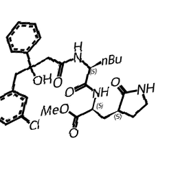 CCCC[C@H](NC(=O)CC(O)(Cc1cccc(Cl)c1)c1ccccc1)C(=O)N[C@@H](C[C@@H]1CCNC1=O)C(=O)OC